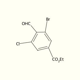 CCOC(=O)c1cc(Cl)c(C=O)c(Br)c1